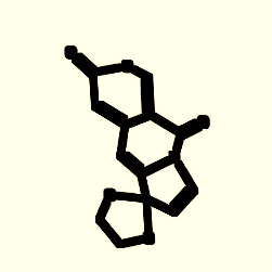 O=c1cc2cc3n(c(=O)c2co1)C=CC31OCCO1